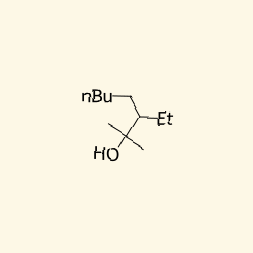 CCCCCC(CC)C(C)(C)O